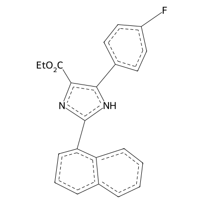 CCOC(=O)c1nc(-c2cccc3ccccc23)[nH]c1-c1ccc(F)cc1